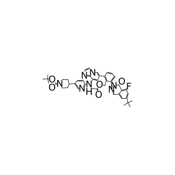 CC(=O)OCc1c(-c2cc(Nc3ccc(C4CCN(C(=O)OC(C)(C)C)CC4)cn3)c3nccn3c2)cccc1-n1ncc2cc(C(C)(C)C)cc(F)c2c1=O